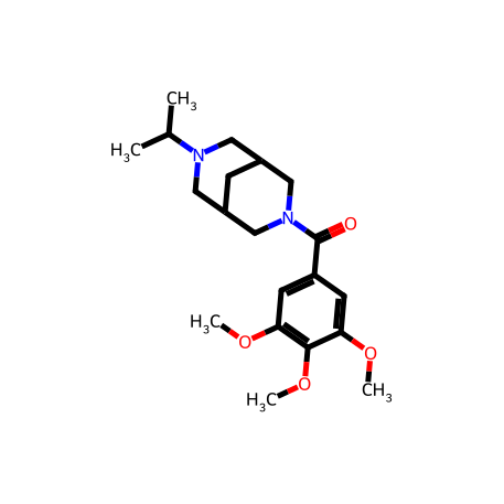 COc1cc(C(=O)N2CC3CC(C2)CN(C(C)C)C3)cc(OC)c1OC